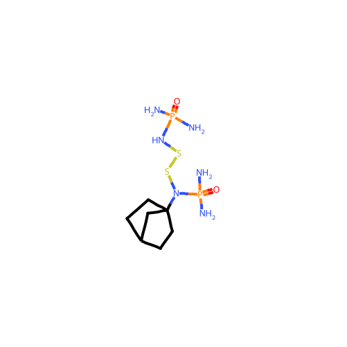 NP(N)(=O)NSSN(C12CCC(CC1)C2)P(N)(N)=O